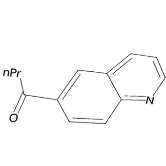 CCCC(=O)c1ccc2ncccc2c1